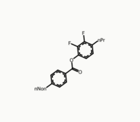 CCCCCCCCCc1ccc(C(=O)Oc2ccc(CCC)c(F)c2F)cc1